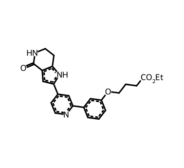 CCOC(=O)CCCOc1cccc(-c2cc(-c3cc4c([nH]3)CCNC4=O)ccn2)c1